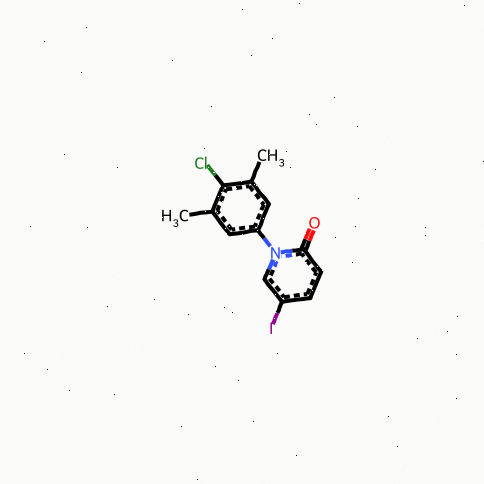 Cc1cc(-n2cc(I)ccc2=O)cc(C)c1Cl